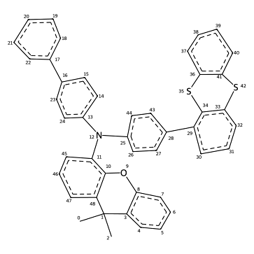 CC1(C)c2ccccc2Oc2c(N(c3ccc(-c4ccccc4)cc3)c3ccc(-c4cccc5c4Sc4ccccc4S5)cc3)cccc21